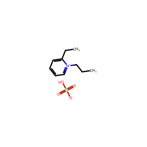 CCC[n+]1ccccc1CC.O=S(=O)([O-])O